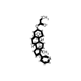 CCC(=O)O[C@H]1CC[C@@]2(C)C(=CC[C@@H]3[C@@H]2CC[C@]2(C)C(c4cccnc4)=CC[C@@H]32)C1